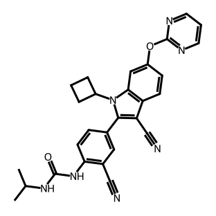 CC(C)NC(=O)Nc1ccc(-c2c(C#N)c3ccc(Oc4ncccn4)cc3n2C2CCC2)cc1C#N